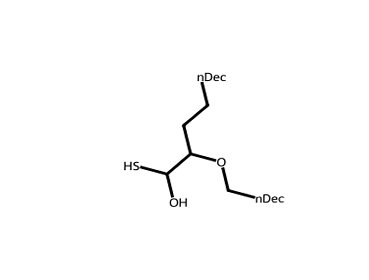 CCCCCCCCCCCCC(OCCCCCCCCCCC)C(O)S